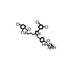 CN(CCCc1cc(-c2cc(Cl)cc(Cl)c2)nn1Cc1ccc(C(=O)Nc2nn[nH]n2)cc1)C(=O)c1ccc(Cl)cc1Cl